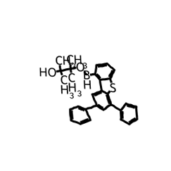 CC(C)(O)C(C)(C)OBc1cccc2sc3c(-c4ccccc4)cc(-c4ccccc4)cc3c12